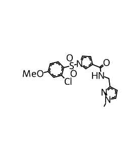 COc1ccc(S(=O)(=O)n2ccc(C(=O)NCc3ccn(C)n3)c2)c(Cl)c1